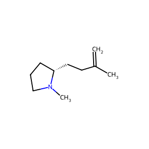 C=C(C)CC[C@H]1CCCN1C